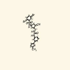 Cc1nc(-c2cccc(NC(=O)NC[C@H]3C[C@@H](NS(=O)(=O)c4cc(Br)ccc4Br)CN3C#N)c2)cs1